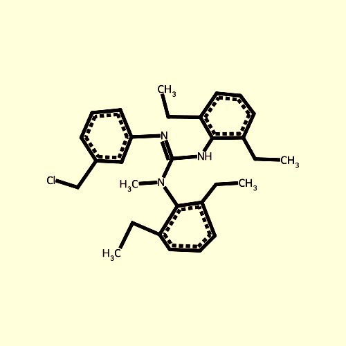 CCc1cccc(CC)c1NC(=Nc1cccc(CCl)c1)N(C)c1c(CC)cccc1CC